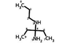 CCCNC(N)(CC)CC